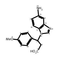 COc1ccc(C(CC(=O)O)n2cnc3cc(N)ccc32)cc1